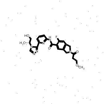 COCCC(=O)N1Cc2cc(F)c(C(=O)Nc3cccc(-c4nncn4[C@H](C)CO)n3)cc2C1